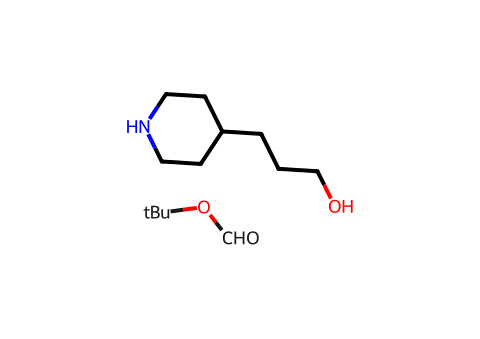 CC(C)(C)OC=O.OCCCC1CCNCC1